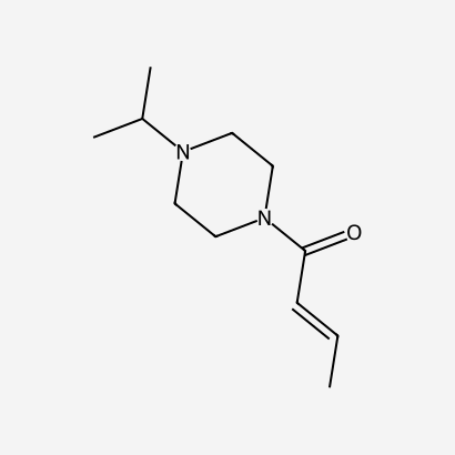 C/C=C/C(=O)N1CCN(C(C)C)CC1